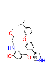 COCCCNc1cc(CO[C@H]2CNCC[C@@H]2c2ccc(Oc3cccc(C(C)C)c3)cc2)ccc1O